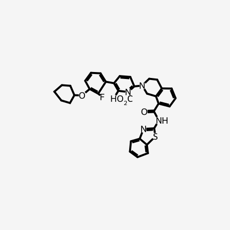 O=C(Nc1nc2ccccc2s1)c1cccc2c1CN(c1ccc(-c3cccc(OC4CCCCC4)c3F)c(C(=O)O)n1)CC2